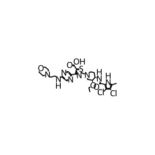 CCO[C@H]1CN(c2nc(-c3cnc(NCCN4CCOCC4)cn3)c(C(=O)O)s2)CC[C@H]1NC(=O)c1[nH]c(C)c(Cl)c1Cl